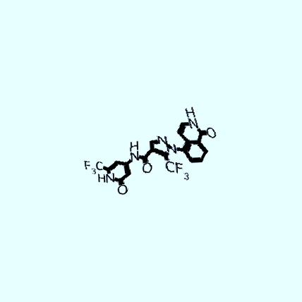 O=C(Nc1cc(C(F)(F)F)[nH]c(=O)c1)c1cnn(-c2cccc3c(=O)[nH]ccc23)c1C(F)(F)F